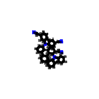 N#Cc1ccc2c(c1)c1ccc(C#N)cc1n2-c1cccc(-c2ccccc2C2=C(n3c4ccccc4c4ccccc43)C(C#N)CC=C2)c1